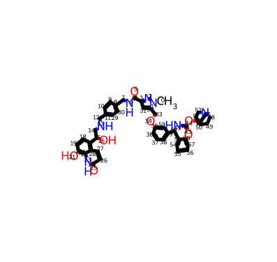 Cn1nc(C(=O)NCc2ccc(CNCC(O)c3ccc(O)c4[nH]c(=O)ccc34)cc2)cc1COc1cccc([C@@H](NC(=O)OC2CN3CCC2CC3)c2ccccc2)c1